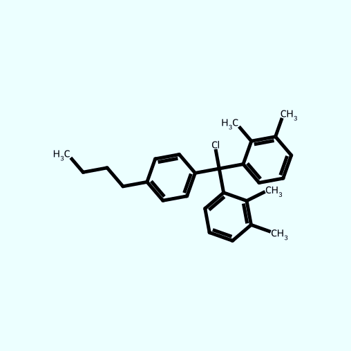 CCCCc1ccc(C(Cl)(c2cccc(C)c2C)c2cccc(C)c2C)cc1